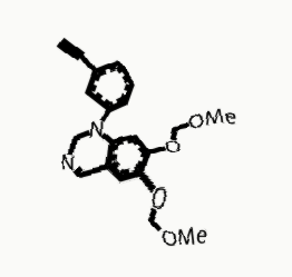 C#Cc1cccc(N2CN=Cc3cc(OCOC)c(OCOC)cc32)c1